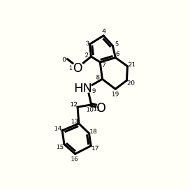 COc1cccc2c1C(NC(=O)Cc1ccccc1)CCC2